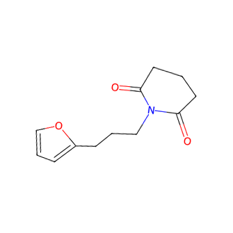 O=C1CCCC(=O)N1CCCc1ccco1